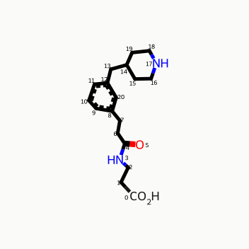 O=C(O)CCNC(=O)CCc1cccc(CC2CCNCC2)c1